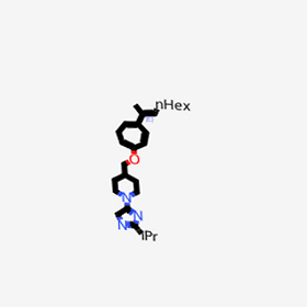 CCCCCC/C=C(\C)C1=CCC=C(OCC2CCN(C3=NC(C(C)C)=NC3)CC2)C=C1